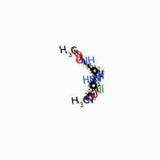 CCOCC(=O)NCC=Cc1ccc2ncnc(Nc3ccc(Oc4ccc(C)nc4)c(Cl)c3)c2c1